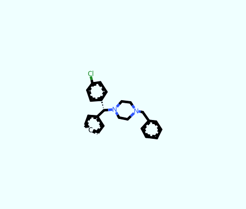 Clc1ccc([C@@H](c2ccccc2)N2CCN(Cc3ccccc3)CC2)cc1